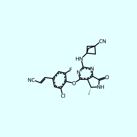 C[C@H]1NC(=O)c2nc(NC34CC(C#N)(C3)C4)nc(Oc3c(F)cc(/C=C/C#N)cc3Cl)c21